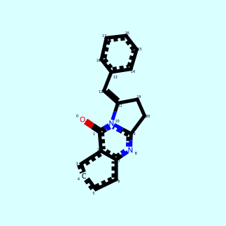 O=c1c2ccccc2nc2n1C(=Cc1ccccc1)CC2